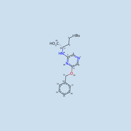 CC(C)(C)CC[C@H](Nc1cncc(OCc2ccccc2)n1)C(=O)O